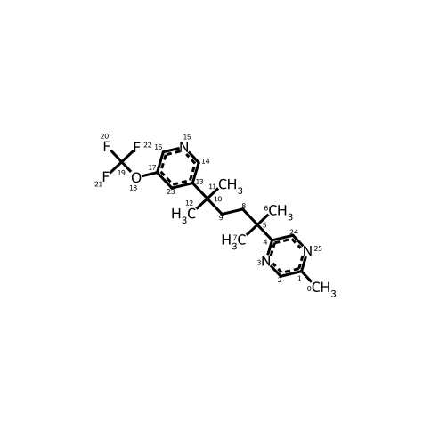 Cc1cnc(C(C)(C)CCC(C)(C)c2cncc(OC(F)(F)F)c2)cn1